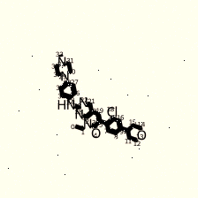 CCn1c(=O)c(-c2ccc(C3CCOCC3)cc2Cl)cc2cnc(Nc3ccc(N4CCN(C)CC4)cc3)nc21